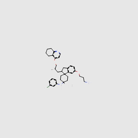 C[C@@H](COc1ccnc2c1[C@H](C)CCC2)CC1Cc2ccc(OCCCN)cc2C12CCC(Nc1cccc(Cl)c1)(C(=O)O)CC2